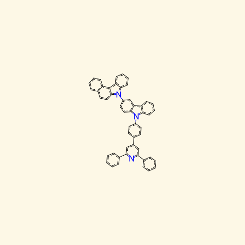 c1ccc(-c2cc(-c3ccc(-n4c5ccccc5c5cc(-n6c7ccccc7c7c8ccccc8ccc76)ccc54)cc3)cc(-c3ccccc3)n2)cc1